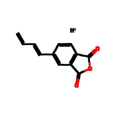 C=CC=Cc1ccc2c(c1)C(=O)OC2=O.[H+]